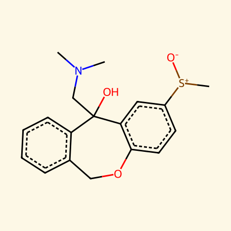 CN(C)CC1(O)c2ccccc2COc2ccc([S+](C)[O-])cc21